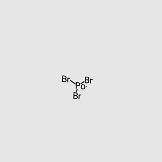 [Br][Po]([Br])[Br]